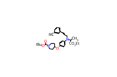 CCOC(=O)C(C)N(CC=Cc1cccc(C#N)c1)c1ccc(OC2CCN(C(=O)OC(C)(C)C)CC2)cc1